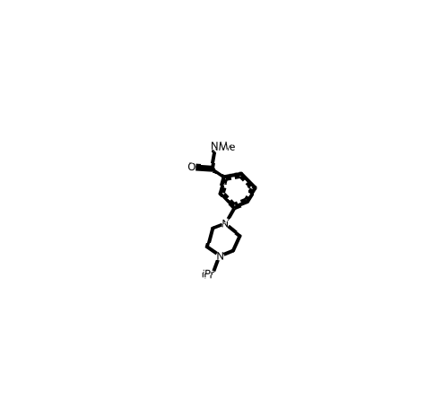 CNC(=O)c1cccc(N2CCN(C(C)C)CC2)c1